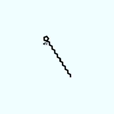 CCCCCCCCC=CCCCCCCCCC1([N]C)CCCC1